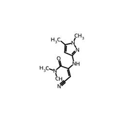 Cc1cc(N/C(=C/C#N)C(=O)N(C)C)nn1C